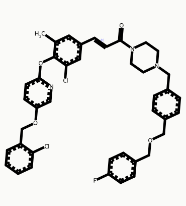 Cc1cc(/C=C/C(=O)N2CCN(Cc3ccc(COCc4ccc(F)cc4)cc3)CC2)cc(Cl)c1Oc1ccc(OCc2ccccc2Cl)cn1